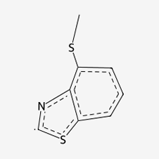 CSc1cccc2s[c]nc12